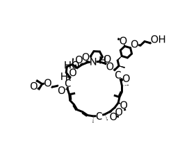 CO[C@@H]1/C(C)=C/[C@@H](C)C(=O)C[C@@H]([C@H](C)C[C@@H]2CC[C@@H](OCCCO)[C@H](OC)C2)OC(=O)[C@@H]2CCCCN2C(=O)C(=O)[C@]2(O)O[C@@H](CC[C@H]2C)C[C@@H](OCCOC2COC2)/C(C)=C/C=C/C=C/[C@@H](C)C[C@@H](C)C(=O)[C@@H]1OC